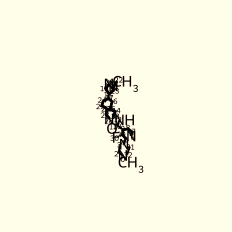 CN1CCN(c2nccc(C(=O)Nc3cc4cc(-c5cnn(C)c5)ccc4cn3)c2F)CC1